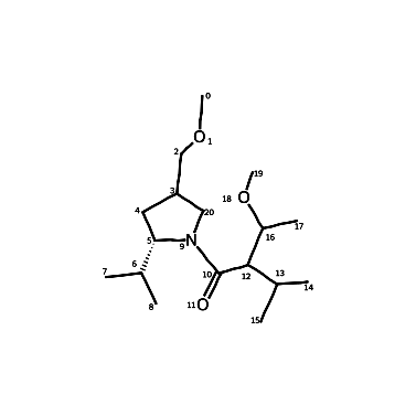 COCC1C[C@@H](C(C)C)N(C(=O)C(C(C)C)C(C)OC)C1